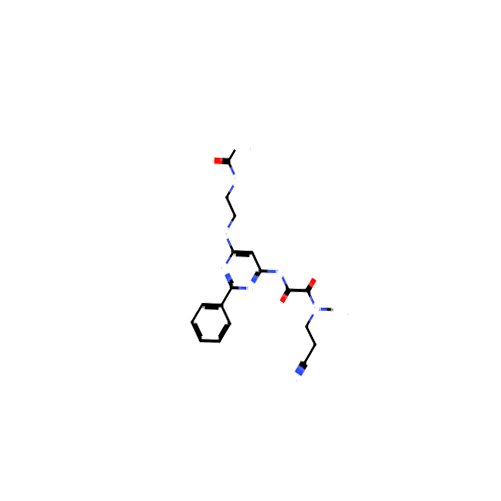 CC(=O)NCCNc1cc(NC(=O)C(=O)N(C)CCC#N)nc(-c2ccccc2)n1